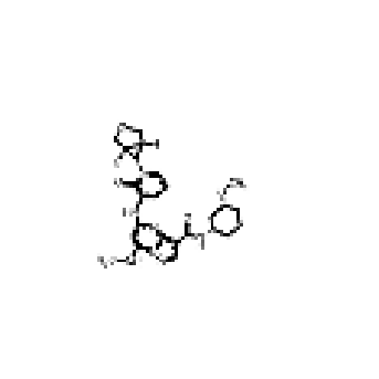 CNc1cc(Nc2cccn([C@H]3[C@@H]4COC[C@@H]43)c2=O)nc2c(C(=O)N[C@H]3CCC[C@H](OC)C3)cnn12